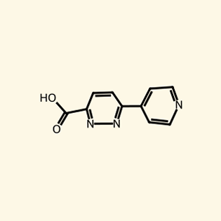 O=C(O)c1ccc(-c2ccncc2)nn1